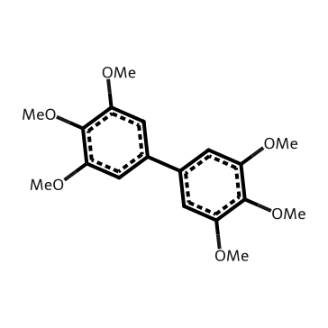 COc1cc(-c2cc(OC)c(OC)c(OC)c2)cc(OC)c1OC